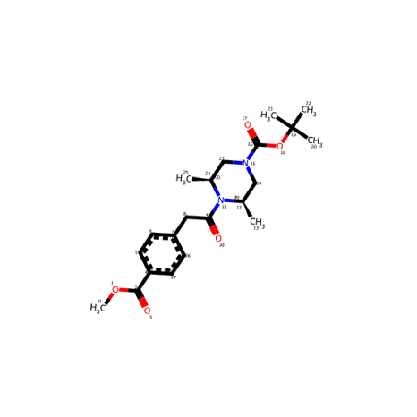 COC(=O)c1ccc(CC(=O)N2[C@H](C)CN(C(=O)OC(C)(C)C)C[C@@H]2C)cc1